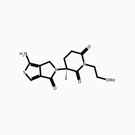 COCCN1C(=O)CC[C@](C)(N2Cc3c(csc3N)C2=O)C1=O